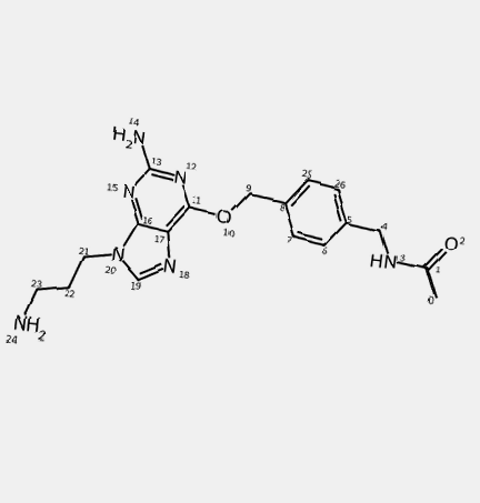 CC(=O)NCc1ccc(COc2nc(N)nc3c2ncn3CCCN)cc1